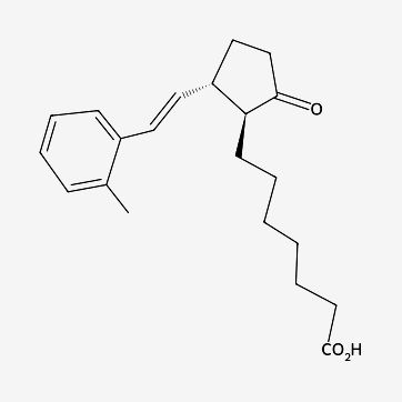 Cc1ccccc1C=C[C@@H]1CCC(=O)[C@H]1CCCCCCC(=O)O